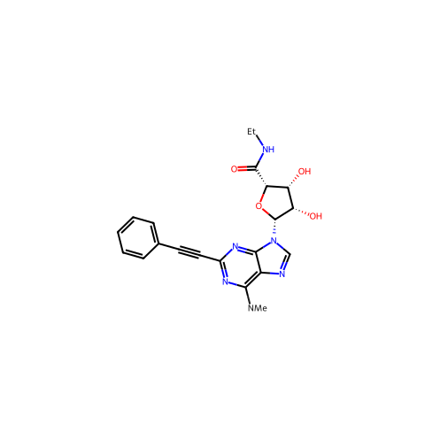 CCNC(=O)[C@H]1O[C@@H](n2cnc3c(NC)nc(C#Cc4ccccc4)nc32)[C@@H](O)[C@H]1O